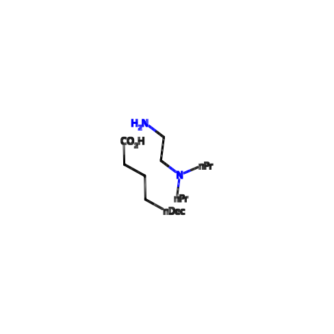 CCCCCCCCCCCCCC(=O)O.CCCN(CCC)CCN